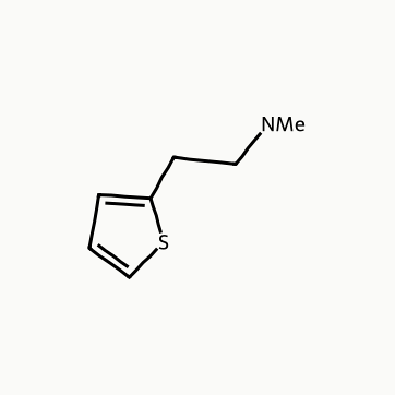 [CH2]NCCc1cccs1